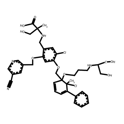 CC(CO)(NCc1cc(Cl)c(OCC2(OCCCNC(CO)CO)C=CC=C(c3ccccc3)C2(C)Cl)cc1OCc1cncc(C#N)c1)C(=O)O